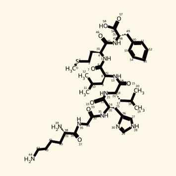 CSCC[C@H](NC(=O)[C@H](CC(C)C)NC(=O)[C@H](CC(C)C)NC(=O)[C@H](Cc1c[nH]cn1)NC(=O)CNC(=O)[C@@H](N)CCCCN)C(=O)N[C@@H](Cc1ccccc1)C(=O)O